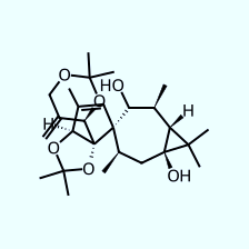 C=C1COC(C)(C)O[C@H]1[C@]12OC(C)(C)O[C@H]1C(C)=C[C@]21C(O)[C@@H](C)[C@@H]2C(C)(C)[C@]2(O)C[C@H]1C